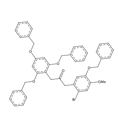 COc1cc(Br)c(CC(=O)Cc2c(OCc3ccccc3)cc(OCc3ccccc3)cc2OCc2ccccc2)cc1OCc1ccccc1